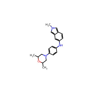 CC1CN(c2ccc(Nc3ccc4cn(C)cc4c3)cc2)CC(C)O1